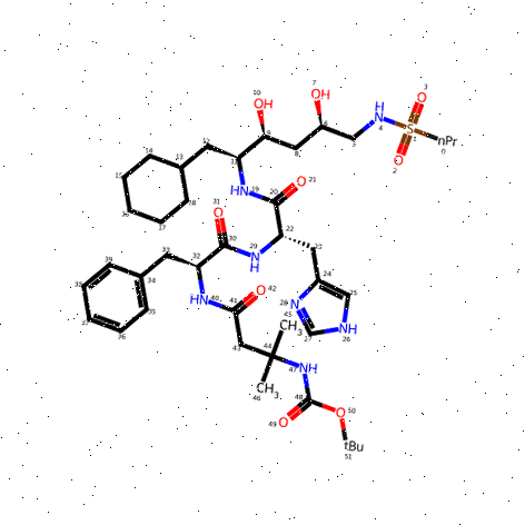 CCCS(=O)(=O)NC[C@H](O)C[C@H](O)[C@H](CC1CCCCC1)NC(=O)[C@H](Cc1c[nH]cn1)NC(=O)[C@H](Cc1ccccc1)NC(=O)CC(C)(C)NC(=O)OC(C)(C)C